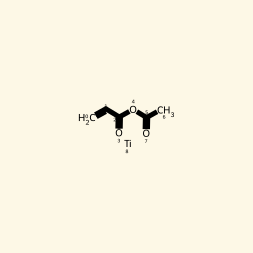 C=CC(=O)OC(C)=O.[Ti]